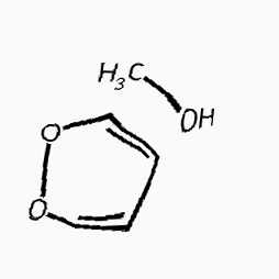 C1=COOC=C1.CO